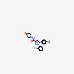 C[C@H]1C(C(=O)NN2CCC(=O)CC2)=NN(c2ccccc2Cl)[C@H]1c1ccc(Cl)cc1